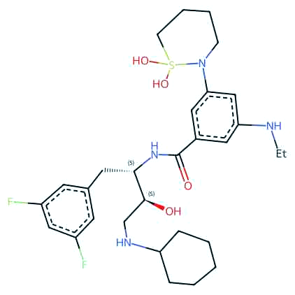 CCNc1cc(C(=O)N[C@@H](Cc2cc(F)cc(F)c2)[C@@H](O)CNC2CCCCC2)cc(N2CCCCS2(O)O)c1